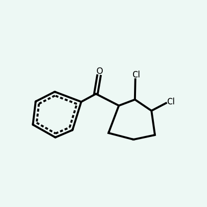 O=C(c1ccccc1)C1CCCC(Cl)C1Cl